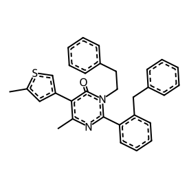 Cc1cc(-c2c(C)nc(-c3ccccc3Cc3ccccc3)n(CCc3ccccc3)c2=O)cs1